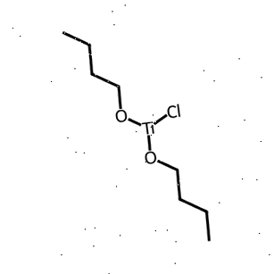 CCCC[O][Ti]([Cl])[O]CCCC